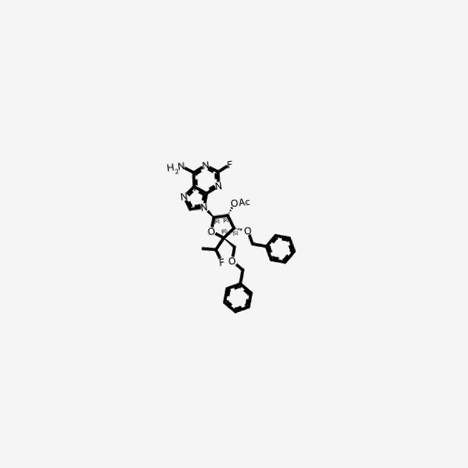 CC(=O)O[C@H]1[C@H](n2cnc3c(N)nc(F)nc32)O[C@@](COCc2ccccc2)(C(C)F)[C@H]1OCc1ccccc1